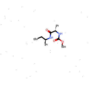 CC(C)[C@H](NC(=O)OC(C)(C)C)C(=O)N[C@H](CC(C)(C)C)C(C)C